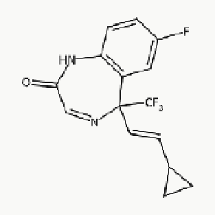 O=C1C=NC(C=CC2CC2)(C(F)(F)F)c2cc(F)ccc2N1